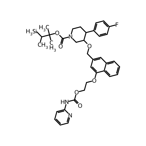 CC([SiH3])C(C)(C)OC(=O)N1CCC(c2ccc(F)cc2)C(OCc2cc(OCCOC(=O)Nc3ccccn3)c3ccccc3c2)C1